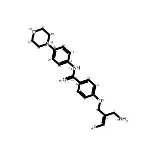 NC/C(=C/F)COc1ccc(C(=O)Nc2ccc(N3CCOCC3)cc2)cc1